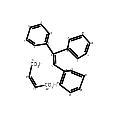 C(=C(c1ccccc1)c1ccccc1)c1ccccc1.O=C(O)/C=C\C(=O)O